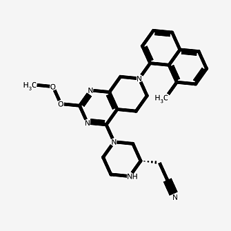 COOc1nc2c(c(N3CCN[C@@H](CC#N)C3)n1)CCN(c1cccc3cccc(C)c13)C2